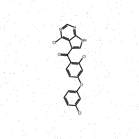 O=C(c1ccc(Oc2cccc(Cl)c2)cc1Cl)c1c[nH]c2ncnc(Cl)c12